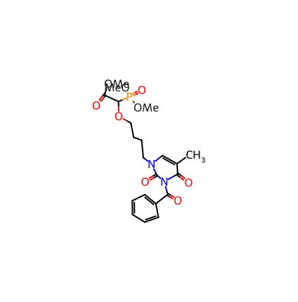 COC(=O)C(OCCCCn1cc(C)c(=O)n(C(=O)c2ccccc2)c1=O)P(=O)(OC)OC